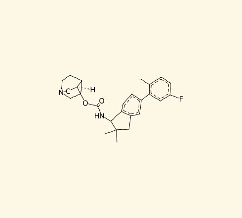 Cc1ccc(F)cc1-c1ccc2c(c1)CC(C)(C)C2NC(=O)O[C@H]1CN2CCC1CC2